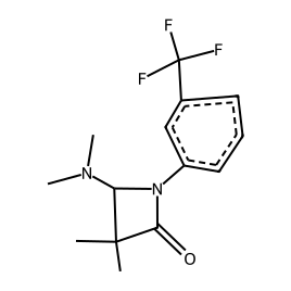 CN(C)C1N(c2cccc(C(F)(F)F)c2)C(=O)C1(C)C